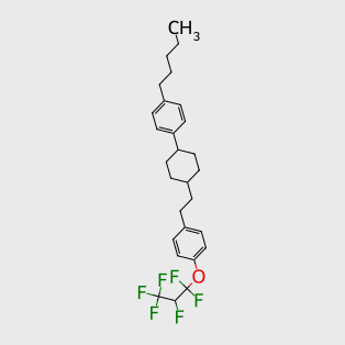 CCCCCc1ccc(C2CCC(CCc3ccc(OC(F)(F)C(F)C(F)(F)F)cc3)CC2)cc1